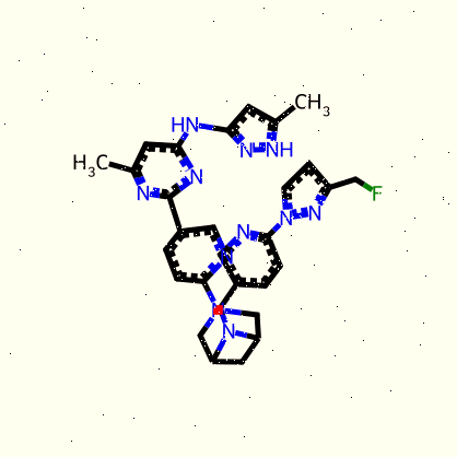 Cc1cc(Nc2cc(C)[nH]n2)nc(-c2ccc(N3CC4CC(C3)N4Cc3ccc(-n4ccc(CF)n4)nc3)nc2)n1